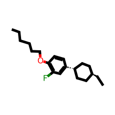 CCCCCCOc1ccc([C@H]2CC[C@H](CC)CC2)cc1F